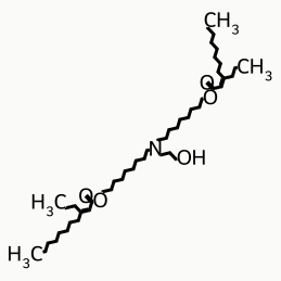 CCCCCCCCC(=CC(=O)OCCCCCCCCCN(CCCO)CCCCCCCCCOC(=O)/C=C(\CCC)CCCCCCCC)CCC